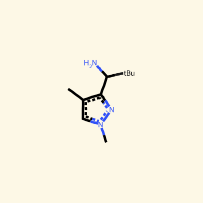 Cc1cn(C)nc1C(N)C(C)(C)C